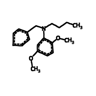 CCCCN(Cc1ccccc1)c1cc(OC)ccc1OC